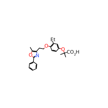 CCc1cc(OC(C)(C)C(=O)O)ccc1OCCc1nc(-c2ccccc2)oc1C